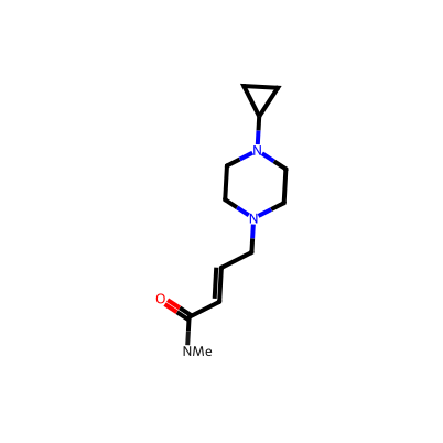 CNC(=O)/C=C/CN1CCN(C2CC2)CC1